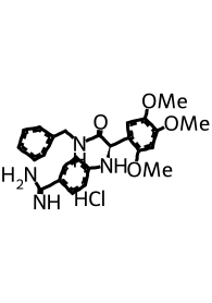 COc1cc(OC)c([C@@H](Nc2ccc(C(=N)N)cc2)C(=O)NCc2ccccc2)cc1OC.Cl